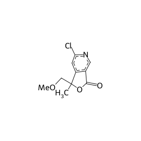 COCC1(C)OC(=O)c2cnc(Cl)cc21